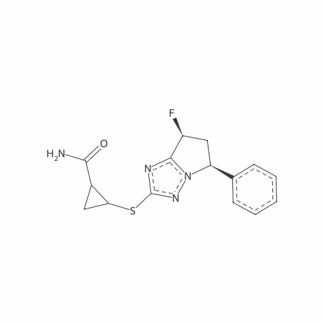 NC(=O)C1CC1Sc1nc2n(n1)[C@H](c1ccccc1)C[C@@H]2F